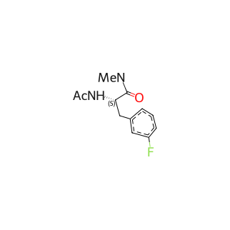 CNC(=O)[C@H](Cc1cccc(F)c1)NC(C)=O